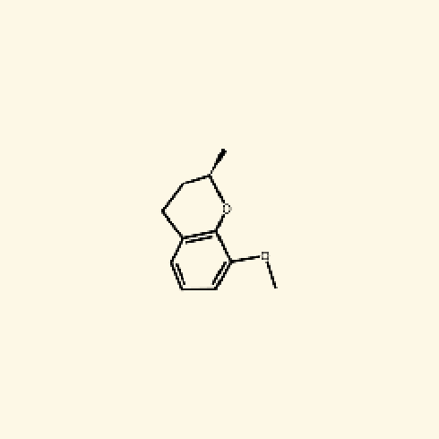 COc1cccc2c1O[C@H](C)CC2